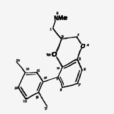 CNCC1COc2cccc(-c3cc(C)ccc3C)c2O1